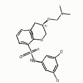 CN(C)CO[C@H]1COc2c(cccc2S(=O)(=O)Nc2cc(Cl)cc(Cl)c2)C1